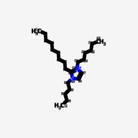 CCCCCCCCCc1n(CCCCC)cc[n+]1CCCCCC